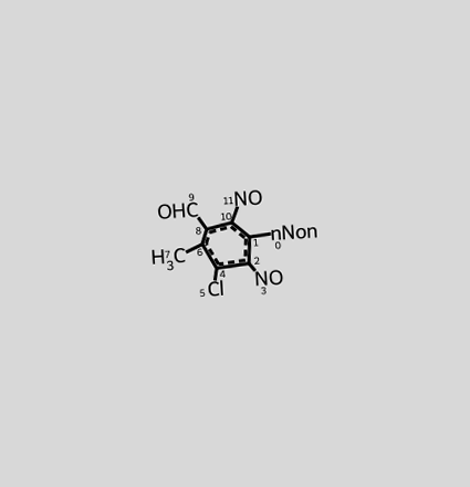 CCCCCCCCCc1c(N=O)c(Cl)c(C)c(C=O)c1N=O